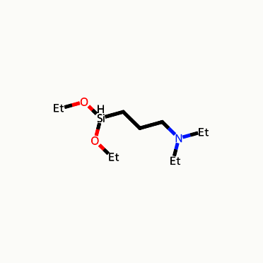 CCO[SiH](CCCN(CC)CC)OCC